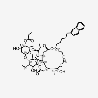 CCC(=O)O[C@@H]1CC(=O)O[C@@H](CCCCCc2ccc3ccccc3c2)CCCN(C)C[C@H](O)[C@H](C)C[C@H](CC=O)[C@H](O[C@@H]2OC(C)[C@@H](O[C@H]3CC(C)(O)[C@@H](OC(=O)CC)C(C)O3)C(N(C)C)C2O)[C@H]1OC